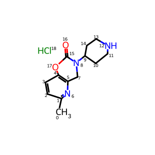 Cc1ccc2c(n1)CN(C1CCNCC1)C(=O)O2.Cl